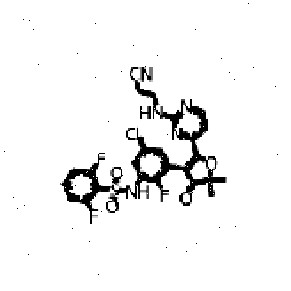 CC1(C)OC(c2ccnc(NCCC#N)n2)=C(c2cc(Cl)cc(NS(=O)(=O)c3c(F)cccc3F)c2F)C1=O